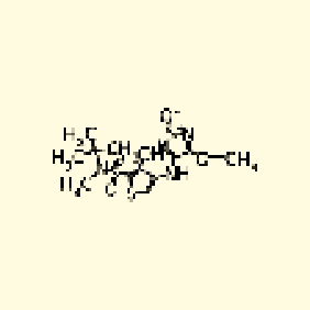 CCOc1n[s+]([O-])nc1Nc1csc(S(=O)(=O)N(C)C(C)(C)C)c1O